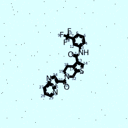 O=C(Nc1cccc(C(F)(F)F)c1)c1csc2c1CCN(C(=O)c1cnc3cccnn13)C2